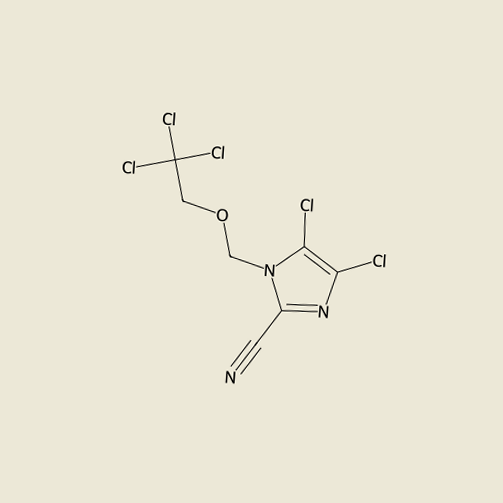 N#Cc1nc(Cl)c(Cl)n1COCC(Cl)(Cl)Cl